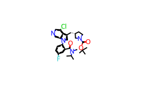 CC(C)N(C)C(=O)c1cc(F)ccc1-n1cc(C[C@@H]2CCN(C(=O)OC(C)(C)C)C2)c2c(Cl)cncc21